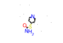 NC(=O)Sc1ccncc1